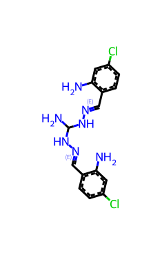 Nc1cc(Cl)ccc1/C=N/NC(N)N/N=C/c1ccc(Cl)cc1N